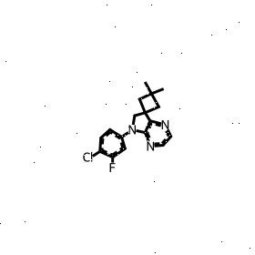 CC1(C)CC2(CN(c3ccc(Cl)c(F)c3)c3nccnc32)C1